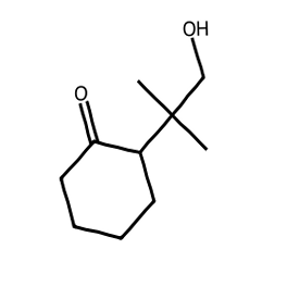 CC(C)(CO)C1CCCCC1=O